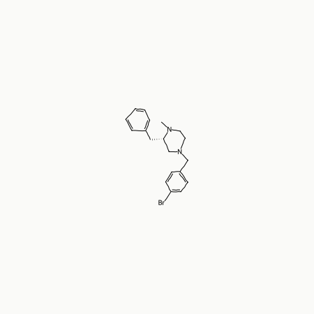 CN1CCN(Cc2ccc(Br)cc2)C[C@@H]1Cc1ccccc1